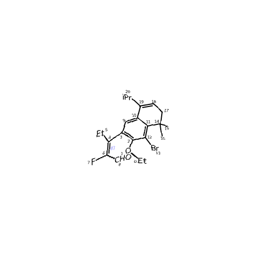 CCOc1c(/C(CC)=C(/F)C=O)cc2c(c1Br)C(C)(C)CC=C2C(C)C